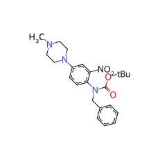 CN1CCN(c2ccc(N(Cc3ccccc3)C(=O)OC(C)(C)C)c([N+](=O)[O-])c2)CC1